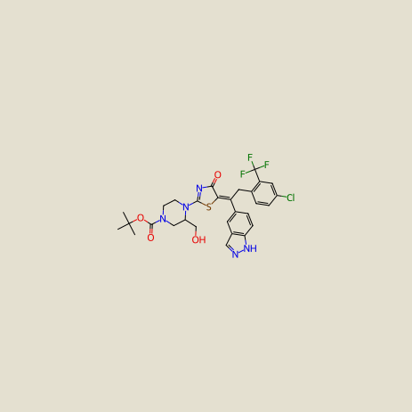 CC(C)(C)OC(=O)N1CCN(C2=NC(=O)C(=C(Cc3ccc(Cl)cc3C(F)(F)F)c3ccc4[nH]ncc4c3)S2)C(CO)C1